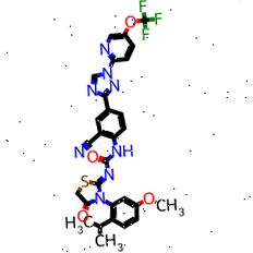 COc1ccc(C(C)C)c(N2C(=O)CS/C2=N\C(=O)Nc2ccc(-c3ncn(-c4ccc(OC(F)(F)F)cn4)n3)cc2C#N)c1